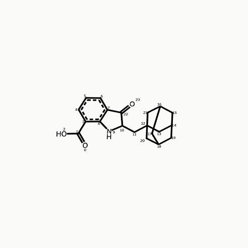 O=C(O)c1cccc2c1NC(CC13CC4CC(CC(C4)C1)C3)C2=O